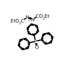 CCOC(=O)/N=N/C(=O)OCC.O=P(c1ccccc1)(c1ccccc1)c1ccccc1